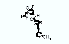 CN1CCCC(C#Cc2sc(C(=O)Nc3cc(F)c(=O)n(CC(F)F)c3)cc2Cl)C1